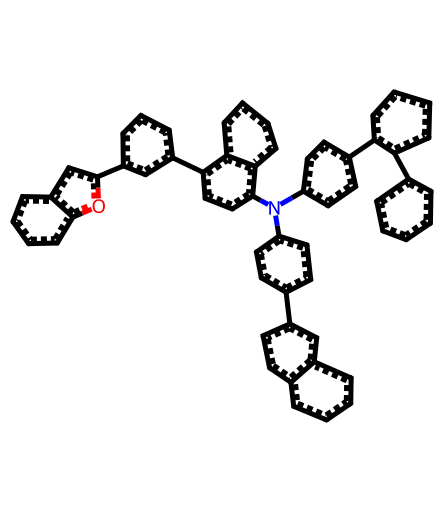 c1ccc(-c2ccccc2-c2ccc(N(c3ccc(-c4ccc5ccccc5c4)cc3)c3ccc(-c4cccc(-c5cc6ccccc6o5)c4)c4ccccc34)cc2)cc1